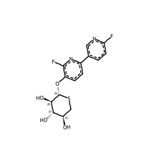 O[C@@H]1[C@@H](O)[C@H](Oc2ccc(-c3ccc(F)nc3)nc2F)SC[C@H]1O